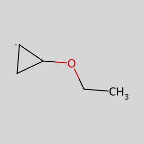 CCOC1[CH]C1